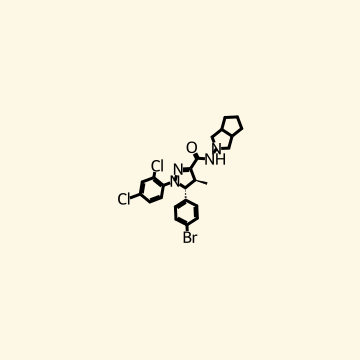 C[C@@H]1C(C(=O)NN2CC3CCCC3C2)=NN(c2ccc(Cl)cc2Cl)[C@H]1c1ccc(Br)cc1